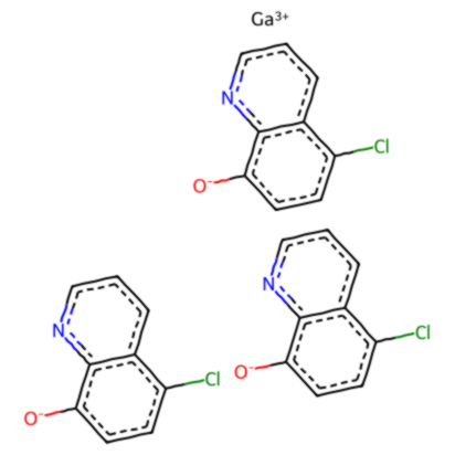 [Ga+3].[O-]c1ccc(Cl)c2cccnc12.[O-]c1ccc(Cl)c2cccnc12.[O-]c1ccc(Cl)c2cccnc12